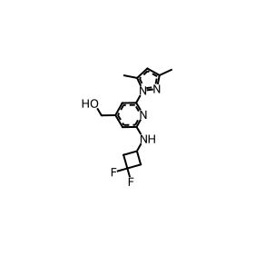 Cc1cc(C)n(-c2cc(CO)cc(NC3CC(F)(F)C3)n2)n1